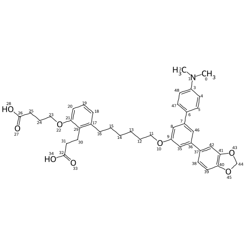 CN(C)c1ccc(-c2cc(OCCCCCCc3cccc(OCCCC(=O)O)c3CCC(=O)O)cc(-c3ccc4c(c3)OCO4)c2)cc1